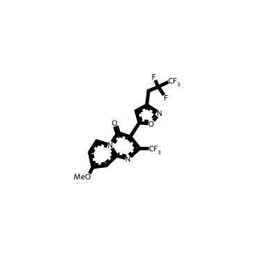 COc1ccn2c(=O)c(-c3cc(CC(F)(F)C(F)(F)F)no3)c(C(F)(F)F)nc2c1